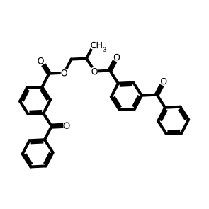 CC(COC(=O)c1cccc(C(=O)c2ccccc2)c1)OC(=O)c1cccc(C(=O)c2ccccc2)c1